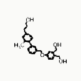 Cc1cc(CCCO)ccc1-c1cccc(COc2ccc(CO)c(CO)c2)c1